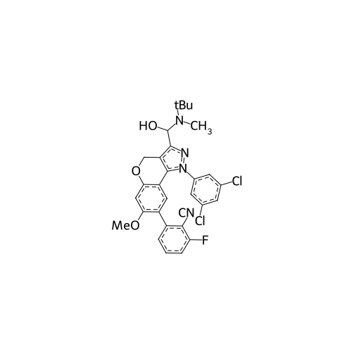 COc1cc2c(cc1-c1cccc(F)c1C#N)-c1c(c(C(O)N(C)C(C)(C)C)nn1-c1cc(Cl)cc(Cl)c1)CO2